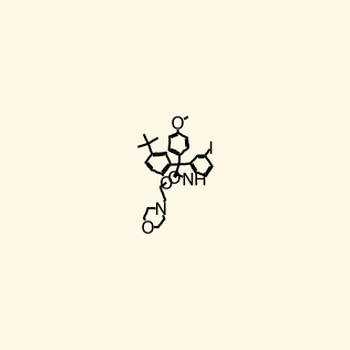 COc1ccc(C2(c3cc(C(C)(C)C)ccc3OCCN3CCOCC3)C(=O)Nc3ccc(I)cc32)cc1